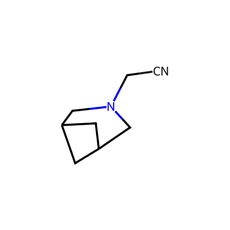 N#CCN1CC2CC(C2)C1